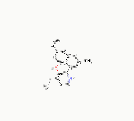 Cc1cc2c3c(cc(CC(C)C)cc3c1)Oc1c(CC#N)ccnc1-2